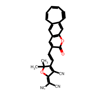 CC1(C)OC(=C(C#N)C#N)C(C#N)=C1/C=C/c1cc2cc3c(cc2oc1=O)C#C/C=C\C=C/3